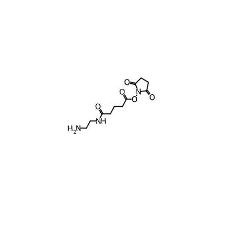 NCCNC(=O)CCCC(=O)ON1C(=O)CCC1=O